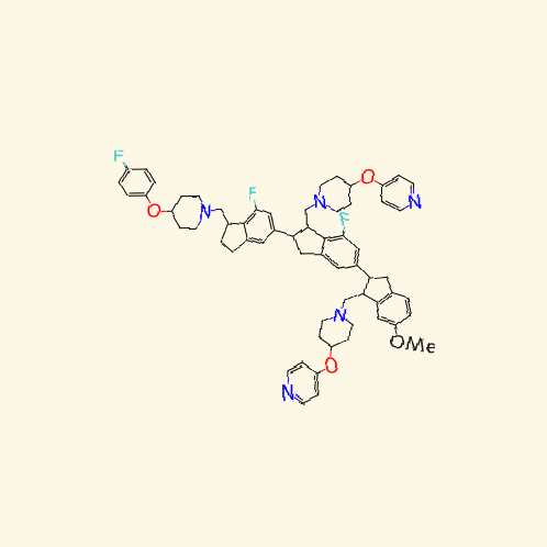 COc1ccc2c(c1)C(CN1CCC(Oc3ccncc3)CC1)C(c1cc(F)c3c(c1)CC(c1cc(F)c4c(c1)CCC4CN1CCC(Oc4ccc(F)cc4)CC1)C3CN1CCC(Oc3ccncc3)CC1)C2